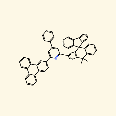 CC1(C)c2ccccc2C2(c3ccccc3-c3ccccc32)c2cc(-c3cc(-c4ccccc4)cc(-c4ccc5c6ccccc6c6ccccc6c5c4)n3)ccc21